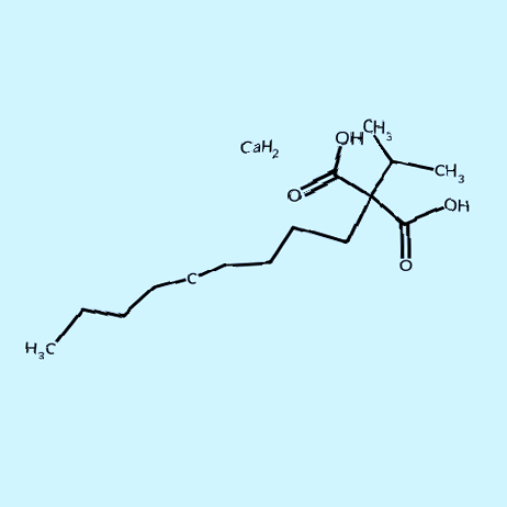 CCCCCCCCCC(C(=O)O)(C(=O)O)C(C)C.[CaH2]